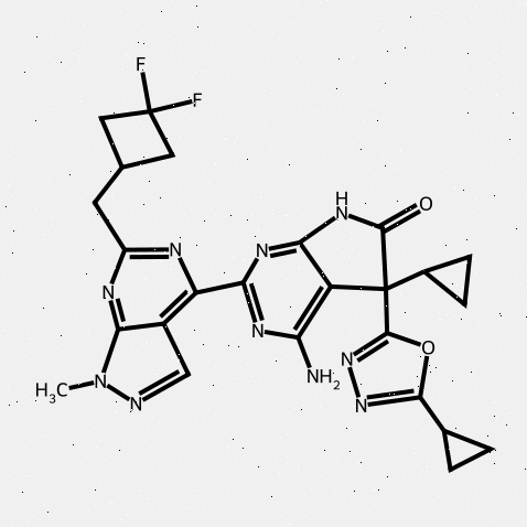 Cn1ncc2c(-c3nc(N)c4c(n3)NC(=O)C4(c3nnc(C4CC4)o3)C3CC3)nc(CC3CC(F)(F)C3)nc21